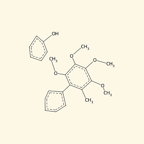 COc1c(C)c(-c2ccccc2)c(OC)c(OC)c1OC.Oc1ccccc1